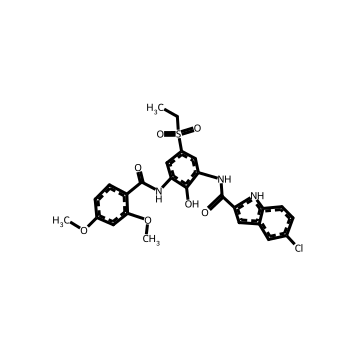 CCS(=O)(=O)c1cc(NC(=O)c2cc3cc(Cl)ccc3[nH]2)c(O)c(NC(=O)c2ccc(OC)cc2OC)c1